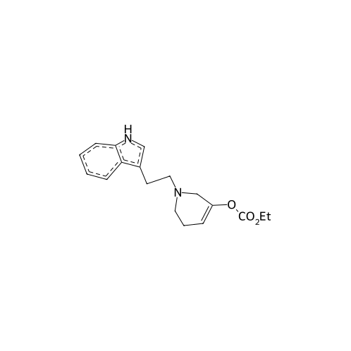 CCOC(=O)OC1=CCCN(CCc2c[nH]c3ccccc23)C1